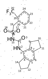 O=C(Nc1c2c(cc3c1CCC3)CCC2)NS(=O)(=O)Cc1ccccc1C(F)(F)F